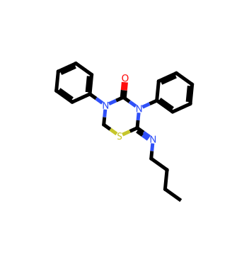 CCCCN=C1SCN(c2ccccc2)C(=O)N1c1ccccc1